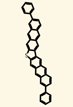 c1ccc(-c2ccc3cc4cc5c(cc4cc3c2)sc2cc3cc4cc(-c6ccccc6)ccc4cc3cc25)cc1